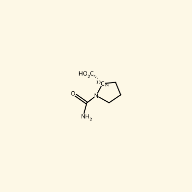 NC(=O)N1CCC[13C@H]1C(=O)O